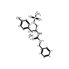 CS(=O)(=O)OC[C@@H](NC(=O)OCc1ccccc1)[C@H](O)c1ccc(Cl)cc1